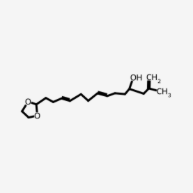 C=C(C)CC(O)CCC=CCCC=CCCC1OCCO1